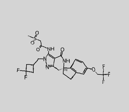 CS(=O)(=O)CC(=O)Nc1c2c(nn1CC1CC(F)(F)C1)C[C@]1(CCc3cc(OCC(F)(F)F)ccc31)NC2=O